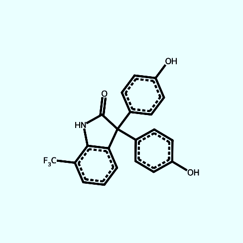 O=C1Nc2c(C(F)(F)F)cccc2C1(c1ccc(O)cc1)c1ccc(O)cc1